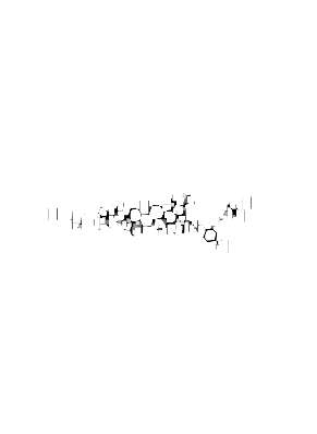 CC(C)C1=C2[C@H]3CC[C@@H]4[C@@]5(C)CC[C@H](OC(=O)[C@H]6C[C@@H](C(=O)O)C6(C)C)C(C)(C)[C@@H]5CC[C@@]4(C)[C@]3(C)CC[C@@]2([C@@H](O)CNCc2ccc(Cl)cc2OCCN(C)C)CC1=O